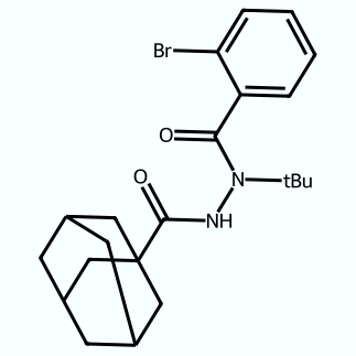 CC(C)(C)N(NC(=O)C12CC3CC(CC(C3)C1)C2)C(=O)c1ccccc1Br